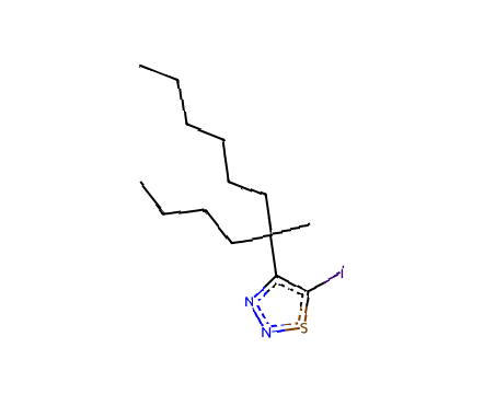 CCCCCCC(C)(CCCC)c1nnsc1I